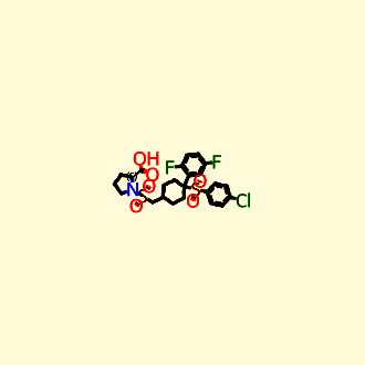 O=C(O)[C@@H]1CCCN1S(=O)(=O)CC1CCC(c2cc(F)ccc2F)(S(=O)(=O)c2ccc(Cl)cc2)CC1